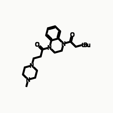 CN1CCN(CCC(=O)N2CCN(C(=O)CC(C)(C)C)c3ccccc32)CC1